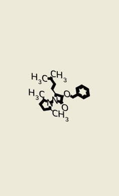 CC(C)CC[C@H]1[C@@H](OCc2ccccc2)C(=O)N1N1[C@H](C)CC[C@H]1C